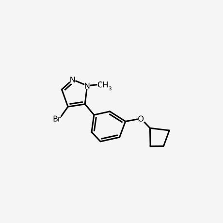 Cn1ncc(Br)c1-c1cccc(OC2CCC2)c1